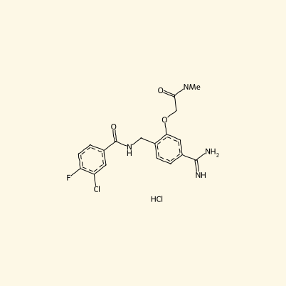 CNC(=O)COc1cc(C(=N)N)ccc1CNC(=O)c1ccc(F)c(Cl)c1.Cl